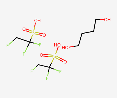 O=S(=O)(O)C(F)(F)CF.O=S(=O)(O)C(F)(F)CF.OCCCCO